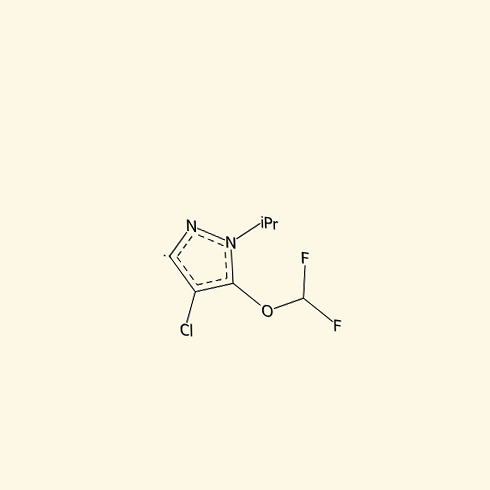 CC(C)n1n[c]c(Cl)c1OC(F)F